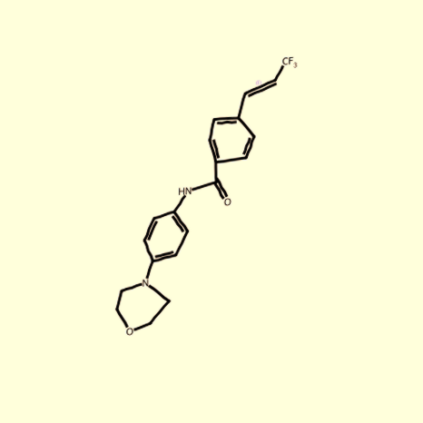 O=C(Nc1ccc(N2CCOCC2)cc1)c1ccc(/C=C/C(F)(F)F)cc1